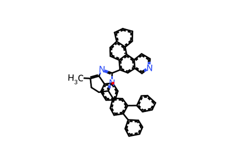 C\C1=C(c2ccccc2)/N=C(c2cc3cnccc3c3c2ccc2ccccc23)\N=C(\c2ccc(-c3ccccc3)c(-c3ccccc3)c2)CC1